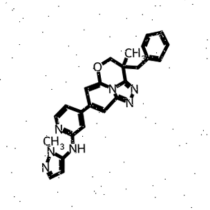 Cn1nccc1Nc1cc(-c2cc3n4c(nnc4c2)C(C)(Cc2ccccc2)CO3)ccn1